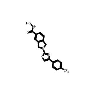 O=C(NO)c1ccc2c(c1)CN(c1nc(-c3ccc(C(F)(F)F)cc3)cs1)C2